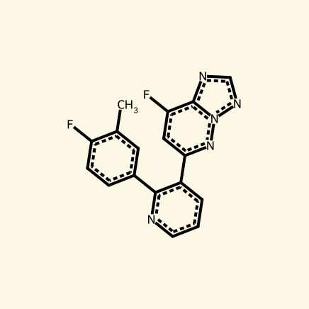 Cc1cc(-c2ncccc2-c2cc(F)c3ncnn3n2)ccc1F